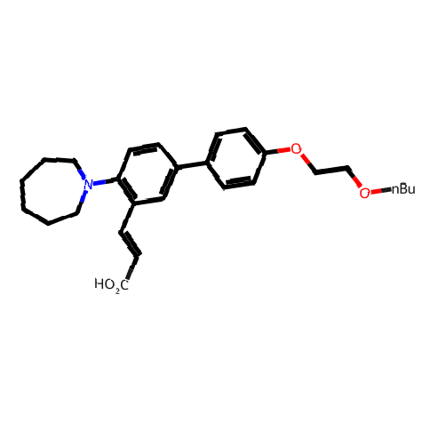 CCCCOCCOc1ccc(-c2ccc(N3CCCCCC3)c(C=CC(=O)O)c2)cc1